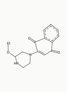 CCOC1CN(C2=CC(=O)c3ccccc3C2=O)CCN1